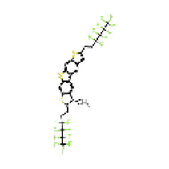 CC1c2cc3c(cc2SC1CCC(F)(F)C(F)(F)C(F)(F)C(F)(F)F)sc1cc2sc(CCC(F)(F)C(F)(F)C(F)(F)C(F)(F)F)cc2cc13